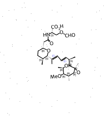 CO[C@H]([C@@H](C)[C@H]1O[C@]1(C)C[C@H](C)/C=C/C=C(\C)[C@H]1O[C@@H](CC(=O)N[C@@H](COC=O)C(=O)O)CC[C@@H]1C)[C@@H](C)O